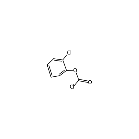 O=C(Cl)Oc1ccccc1Cl